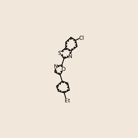 CCc1ccc(-c2cnc(-c3nc4cc(Cl)ccc4s3)o2)cc1